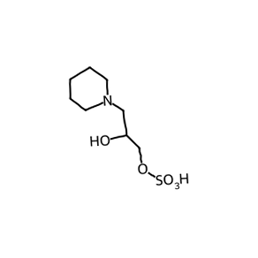 O=S(=O)(O)OCC(O)CN1CCCCC1